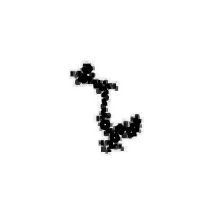 CC(C)N(CCOCCOCCC(=O)N[C@H]1CC[C@@H](C(=O)N[C@@H]2C[C@H](N(C)C(C)C)CC[C@@H]2N2CC[C@H](Nc3ncnc4ccc(C(F)(F)F)cc34)C2=O)CC1)C(=O)CCCNC(=O)[C@H]1CC(=O)N(C)[C@@H]1c1cccnc1